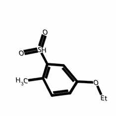 CCOc1ccc(C)c([SH](=O)=O)c1